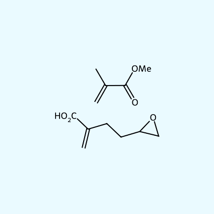 C=C(C)C(=O)OC.C=C(CCC1CO1)C(=O)O